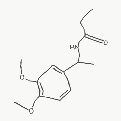 CCC(=O)NC(C)c1ccc(OC)c(OC)c1